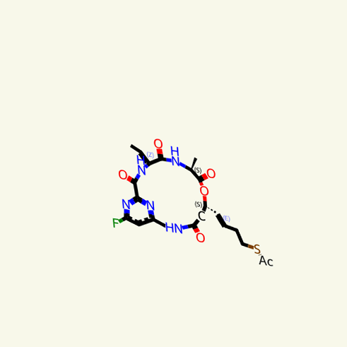 C/C=C1\NC(=O)c2nc(F)cc(n2)CNC(=O)C[C@@H](/C=C/CCSC(C)=O)OC(=O)[C@H](C)NC1=O